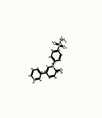 NS(=O)(=O)c1ccc(-n2cc(-c3cccnc3)ccc2=O)cc1